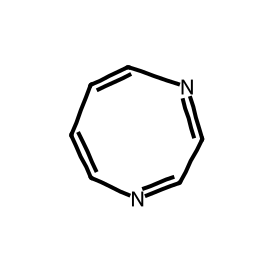 C1=CN=CC=NC=C1